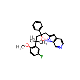 COc1ccc(F)cc1C(C)(C)CC(O)(Cc1cc2ccncc2[nH]1)c1ccccc1